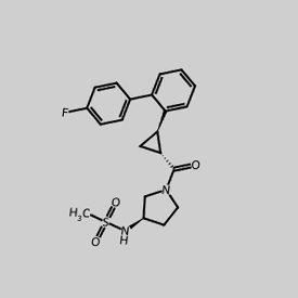 CS(=O)(=O)N[C@@H]1CCN(C(=O)[C@@H]2C[C@H]2c2ccccc2-c2ccc(F)cc2)C1